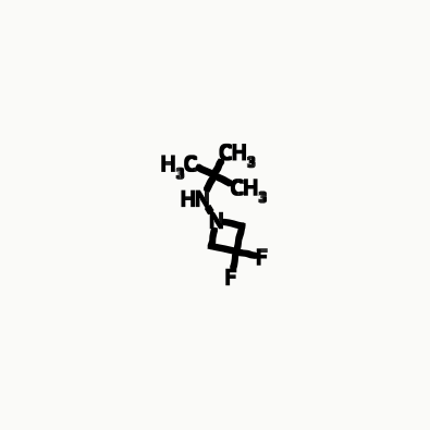 CC(C)(C)NN1CC(F)(F)C1